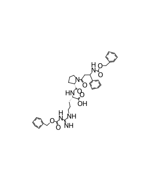 N=C(NCCC[C@H](NC(=O)[C@@H]1CCCN1C(=O)CC(NC(=O)OCc1ccccc1)c1ccccc1)C(=O)O)NC(=O)OCc1ccccc1